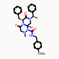 COc1ccc(CNC(=O)N2[C@H]3CN([C@H](C)c4ccccc4)C(=O)[C@H](Cc4ccccc4)N3C(=O)CN2C)cc1